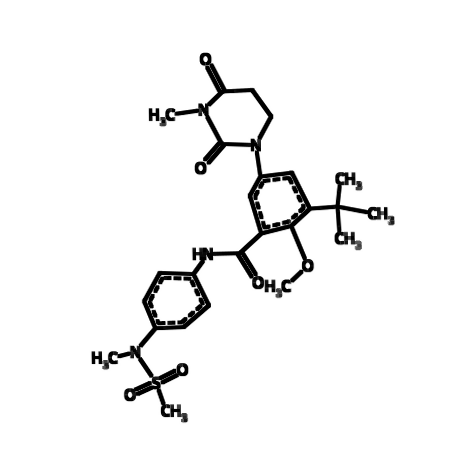 COc1c(C(=O)Nc2ccc(N(C)S(C)(=O)=O)cc2)cc(N2CCC(=O)N(C)C2=O)cc1C(C)(C)C